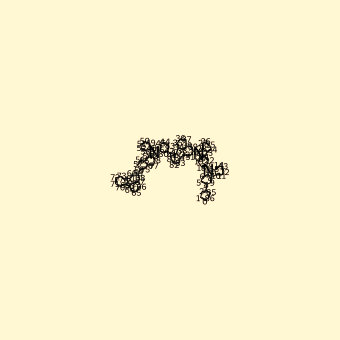 c1ccc(-c2ccc3c(c2)c2ccccc2n3-c2ccc3c(c2)c2ccccc2n3-c2cc3c4c(cccc4c2)-c2c(-c4cccc(-n5c6ccccc6c6c7ccc(-c8cc9c%10c(cccc%10c8)-c8ccccc8-9)cc7ccc65)c4)cccc2-3)cc1